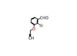 C#CCOc1cccc(C=O)c1Br